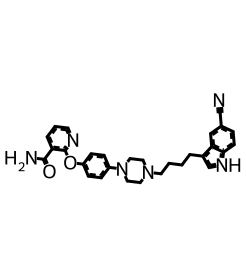 N#Cc1ccc2[nH]cc(CCCCN3CCN(c4ccc(Oc5ncccc5C(N)=O)cc4)CC3)c2c1